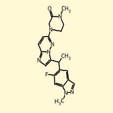 CC(c1cc2cnn(C)c2cc1F)c1cnc2ccc(N3CCN(C)C(=O)C3)nn12